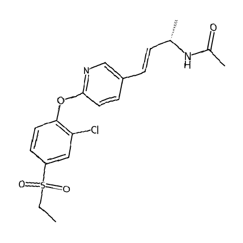 CCS(=O)(=O)c1ccc(Oc2ccc(/C=C/[C@H](C)NC(C)=O)cn2)c(Cl)c1